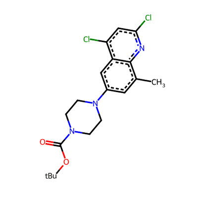 Cc1cc(N2CCN(C(=O)OC(C)(C)C)CC2)cc2c(Cl)cc(Cl)nc12